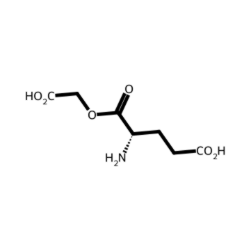 N[C@@H](CCC(=O)O)C(=O)OCC(=O)O